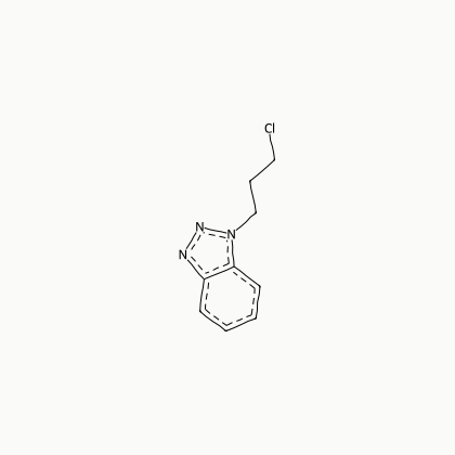 ClCCCn1nnc2ccccc21